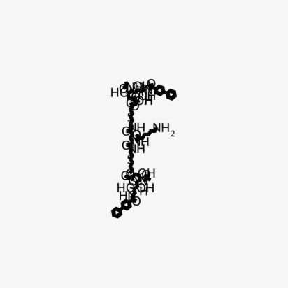 CC(=O)N[C@H]1[C@H]([C@H](O)[C@H](O)CNC(=O)c2ccc(-c3ccccc3)cc2)O[C@](C=O)(OCCCSCCNC(=O)C(CCC(=O)NCCSCCCO[C@]2(C(=O)O)C[C@H](O)[C@@H](NC(C)=O)[C@H]([C@H](O)[C@H](O)CNC(=O)c3ccc(-c4ccccc4)cc3)O2)NC(=O)CCCCCN)C[C@@H]1O